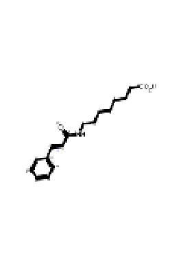 O=C(O)CCCCCCCNC(=O)/C=C/c1ccccc1